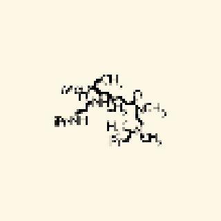 C=C/C(OC)=C(\C=C(/C)CCC(=O)N(C)CCN(C)C(=C)CC(C)C)NC(=O)CCNC(C)C